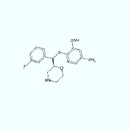 COc1cc(C)ccc1OC(c1cccc(F)c1)[C@@H]1CNCCO1